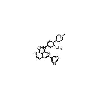 CN1CCC(c2ccc(Nc3nc(-c4cncnc4)cc4c3C(=O)[N]C=C4)cc2C(F)(F)F)CC1